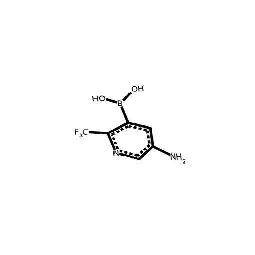 Nc1cnc(C(F)(F)F)c(B(O)O)c1